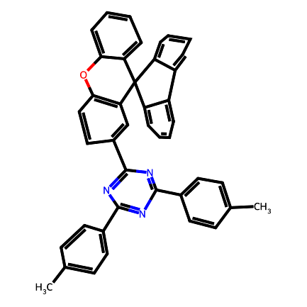 Cc1ccc(-c2nc(-c3ccc(C)cc3)nc(-c3ccc4c(c3)C3(c5ccccc5O4)c4ccccc4-c4ccccc43)n2)cc1